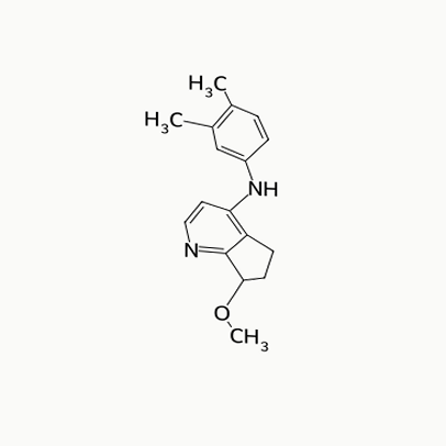 COC1CCc2c(Nc3ccc(C)c(C)c3)ccnc21